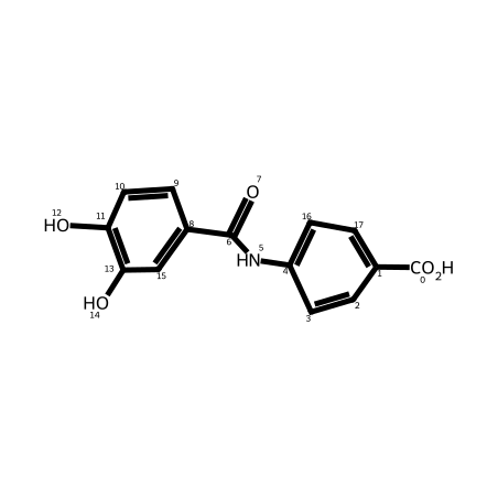 O=C(O)c1ccc(NC(=O)c2ccc(O)c(O)c2)cc1